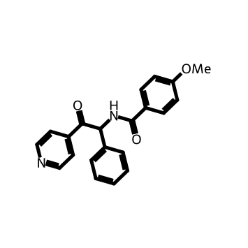 COc1ccc(C(=O)NC(C(=O)c2ccncc2)c2ccccc2)cc1